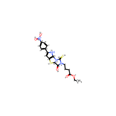 CCOC(=O)CCCN1C(=O)C2Sc3cc(-c4ccc([N+](=O)[O-])cc4)[nH]c3N2C1=S